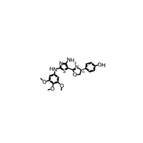 COc1cc(Nc2nc(N)c(C3=N[C@@H](c4ccc(O)cc4)CO3)s2)cc(OC)c1OC